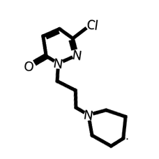 O=c1ccc(Cl)nn1CCCN1CC[CH]CC1